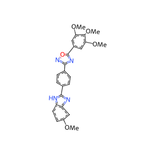 COc1ccc2[nH]c(-c3ccc(-c4noc(-c5cc(OC)c(OC)c(OC)c5)n4)cc3)nc2c1